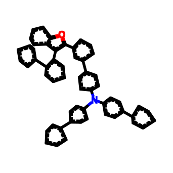 c1ccc(-c2ccc(N(c3ccc(-c4ccccc4)cc3)c3ccc(-c4cccc(-c5oc6ccccc6c5-c5ccccc5-c5ccccc5)c4)cc3)cc2)cc1